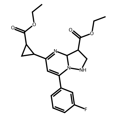 CCOC(=O)C1CC1C1=NC2C(C(=O)OCC)CNN2C(c2cccc(F)c2)=C1